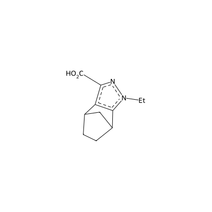 CCn1nc(C(=O)O)c2c1C1CCC2C1